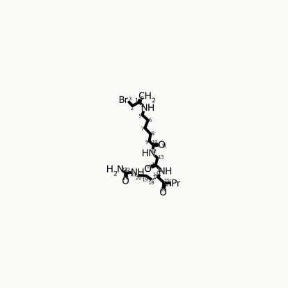 C=C(CBr)NCCCCCC(=O)NCC(=O)N[C@@H](CCCNC(N)=O)C(=O)C(C)C